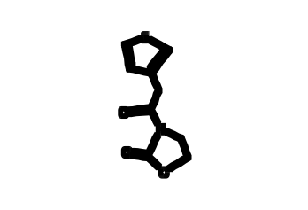 O=C(Cc1ccsc1)N1CCOC1=O